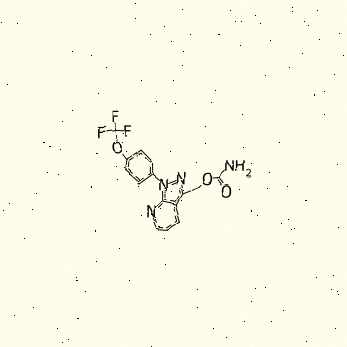 NC(=O)OCc1nn(-c2ccc(OC(F)(F)F)cc2)c2ncccc12